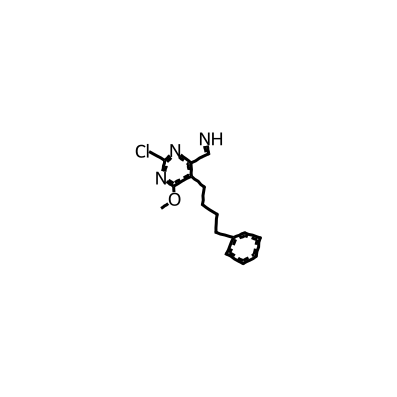 COc1nc(Cl)nc(C=N)c1CCCCc1ccccc1